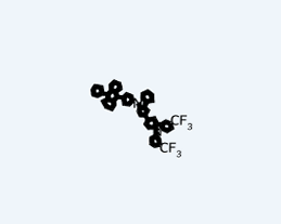 FC(F)(F)c1cccc(-n2c3ccc(-c4ccc5c(c4)c4ccccc4n5-c4ccc(-c5c6ccccc6c(-c6ccccc6)c6ccccc56)cc4)cc3c3cc(C(F)(F)F)ccc32)c1